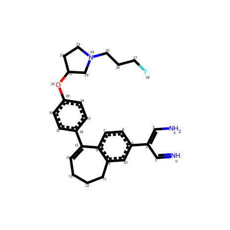 N=C/C(=C\N)c1ccc2c(c1)CCCC=C2c1ccc(OC2CCN(CCCF)C2)cc1